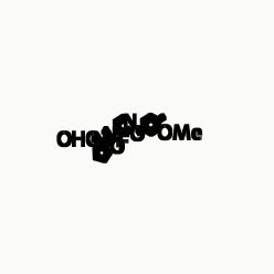 COc1cc(Oc2nccc(N(C)C(=O)C3(NC=O)CCCC3)c2F)ccc1C